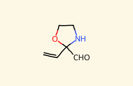 C=CC1(C=O)NCCO1